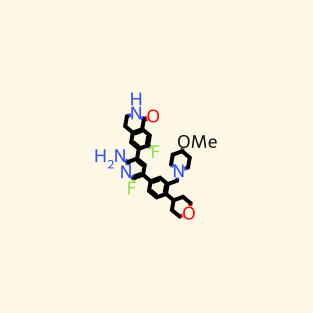 COC1CCN(Cc2cc(-c3cc(-c4cc5c(cc4F)C(=O)NCC5)c(N)nc3F)ccc2C2CCOCC2)CC1